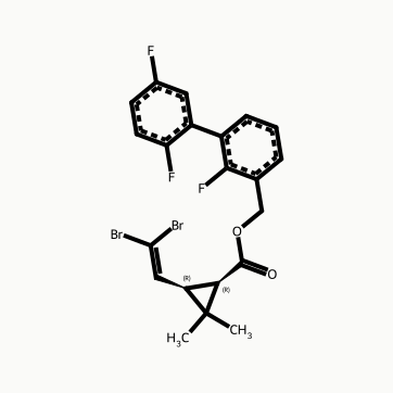 CC1(C)[C@H](C(=O)OCc2cccc(-c3cc(F)ccc3F)c2F)[C@@H]1C=C(Br)Br